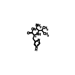 CC(C)C(CN)N[C@@H](Cc1c[nH]cn1)C(=O)O